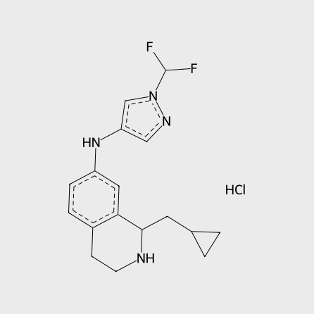 Cl.FC(F)n1cc(Nc2ccc3c(c2)C(CC2CC2)NCC3)cn1